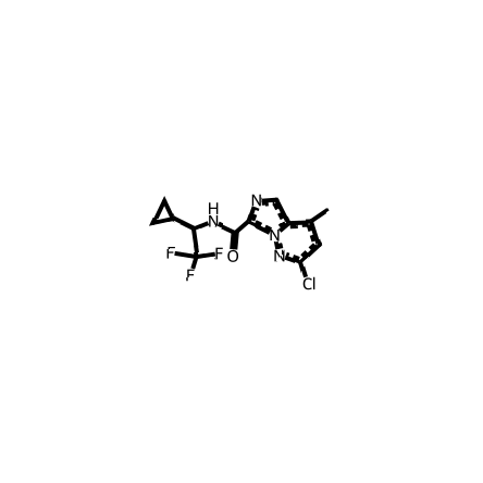 Cc1cc(Cl)nn2c(C(=O)NC(C3CC3)C(F)(F)F)ncc12